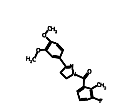 COc1ccc(C2=NN(C(=O)c3cccc(F)c3C)CC2)cc1OC